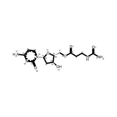 NC(=O)NCCC(=O)OC[C@H]1O[C@@H](n2ccc(N)nc2=O)C[C@@H]1O